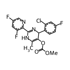 COC(=O)OC1=C(C)NC(c2ncc(F)cc2F)=NC1c1ccc(F)cc1Cl